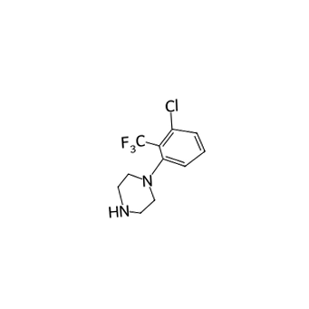 FC(F)(F)c1c(Cl)cccc1N1CCNCC1